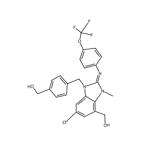 Cn1/c(=N/c2ccc(OC(F)(F)F)cc2)n(Cc2ccc(CO)cc2)c2cc(Cl)cc(CO)c21